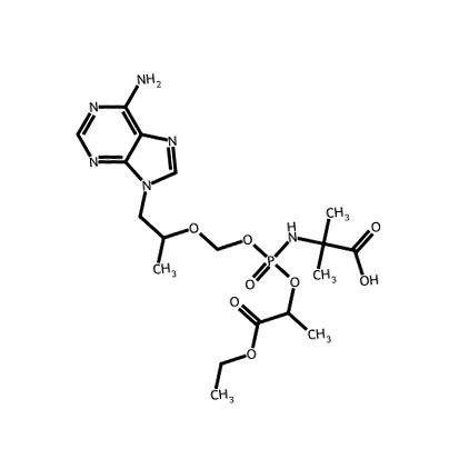 CCOC(=O)C(C)OP(=O)(NC(C)(C)C(=O)O)OCOC(C)Cn1cnc2c(N)ncnc21